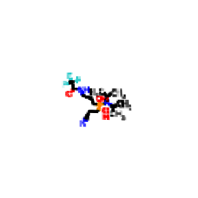 CC(C)N(C(C)C)P(O)(O)(CCC#N)CCCNC(=O)C(F)(F)F